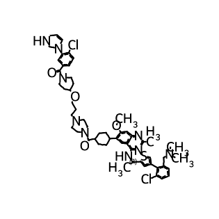 COc1cc2nc(C)nc(N[C@H](C)c3cc(-c4c(Cl)cccc4CN(C)C)cs3)c2cc1C1CCC(C(=O)N2CCN(CCCOC3CCN(C(=O)c4ccc(Cl)c(N5C=CCNC5)c4)CC3)CC2)CC1